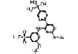 CC(=O)Nc1cc(Nc2cc(OC(F)(F)F)cc(S(C)(=O)=O)c2)c(-c2ccc(C(C)(C)O)cn2)cn1